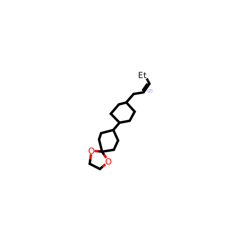 CC/C=C\CC1CCC(C2CCC3(CC2)OCCO3)CC1